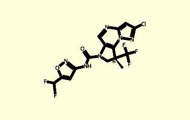 C[C@@]1(C(F)(F)F)CN(C(=O)Nc2cc(C(F)F)on2)c2cnc3cc(Cl)nn3c21